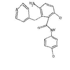 Nc1ccc(Cl)c(C(=O)Nc2ccc(Cl)cc2)c1Cc1ccncc1